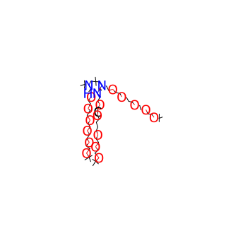 CC(C)(CN(CCOCCOCCOCCOCCOCCOC(C)(C)C)C(C)(C)C)CN(CCOCCOCCCOCCOCCOC(C)(C)C)C(C)(C)NCCOCCOCCCCOCCOCCOC(C)(C)C